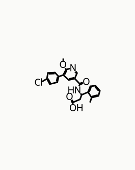 COc1ncc(C(=O)NC(CC(=O)O)c2ccccc2C)cc1-c1ccc(Cl)cc1